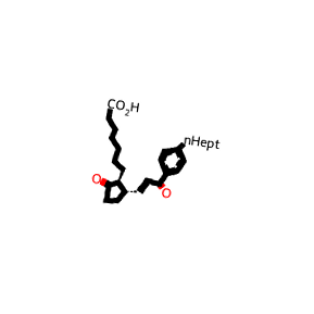 CCCCCCCc1ccc(C(=O)C=C[C@@H]2CCC(=O)[C@H]2CCCCCCC(=O)O)cc1